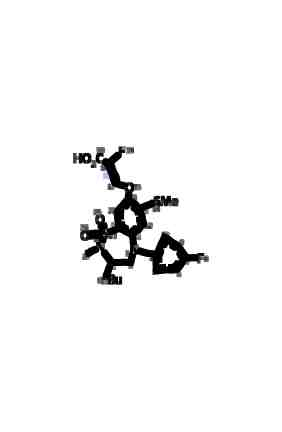 CCCCC1CN(c2ccc(F)cc2)c2cc(SC)c(O/C=C(\F)C(=O)O)cc2S(=O)(=O)N1C